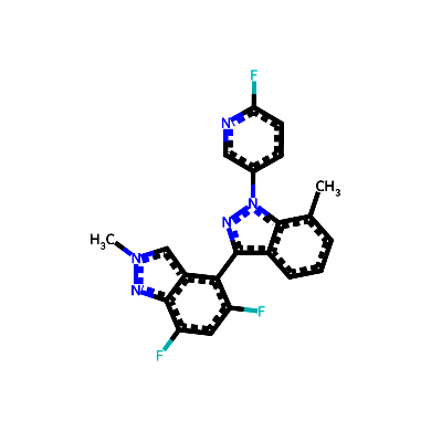 Cc1cccc2c(-c3c(F)cc(F)c4nn(C)cc34)nn(-c3ccc(F)nc3)c12